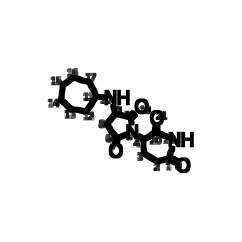 O=C1CCC(N2C(=O)CC(NC3CCCCCC3)C2=O)C(=O)N1